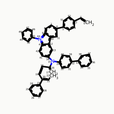 C=Cc1ccc(-c2ccc3c(c2)c2cc(N(C(=C)/C=C\C(=C/C)c4ccccc4)c4ccc(-c5ccccc5)cc4)ccc2n3-c2ccccc2)cc1